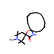 CC1(C)CC2(CC(C)(C)N1C=O)OC1(CCCCCCCCCCC1)NC2=O